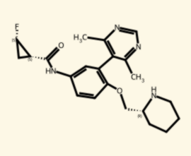 Cc1ncnc(C)c1-c1cc(NC(=O)[C@@H]2C[C@@H]2F)ccc1OC[C@H]1CCCCN1